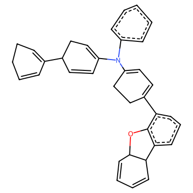 C1=CC2Oc3c(C4=CC=C(N(C5=CCC(C6=CCCC=C6)C=C5)c5ccccc5)CC4)cccc3C2C=C1